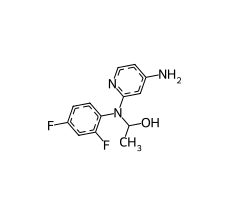 CC(O)N(c1cc(N)ccn1)c1ccc(F)cc1F